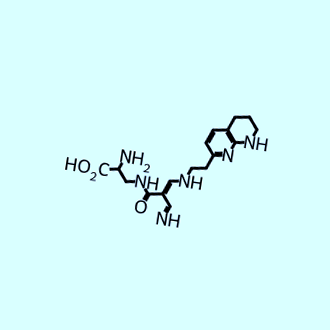 N=C/C(=C\NCCc1ccc2c(n1)NCCC2)C(=O)NCC(N)C(=O)O